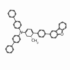 C[C@@H]1CC(N(c2ccc(-c3ccccc3)cc2)c2ccc(-c3ccccc3)cc2)=CC=C1c1ccc(-c2ccc3oc4ccccc4c3c2)cc1